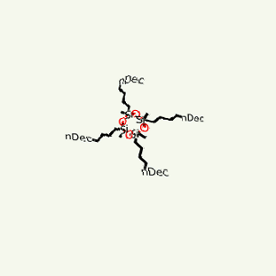 CCCCCCCCCCCCCC[Si]1(C)O[Si](C)(CCCCCCCCCCCCCC)O[Si](C)(CCCCCCCCCCCCCC)O[Si](C)(CCCCCCCCCCCCCC)O1